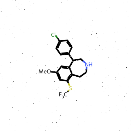 COc1cc(SC(F)(F)F)c2c(c1)C(c1ccc(Cl)cc1)CNCC2